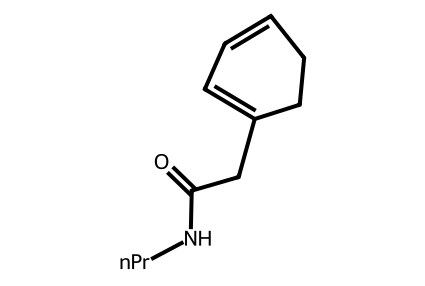 CCCNC(=O)CC1=CC=CCC1